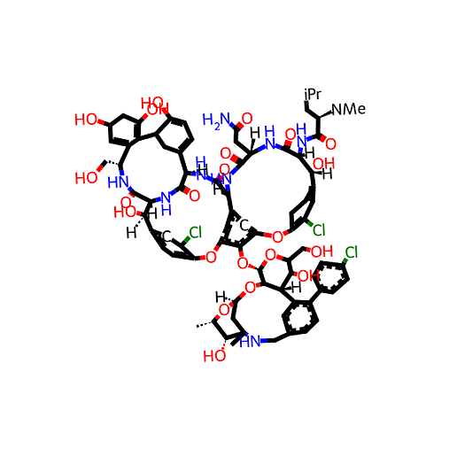 CN[C@H](CC(C)C)C(=O)N[C@H]1C(=O)N[C@@H](CC(N)=O)C(=O)N[C@H]2C(=O)N[C@H]3C(=O)N[C@H](C(=O)N[C@H](CO)C4=CC(O)CC(O)=C4C4CC3=CC=C4O)[C@H](O)C3=CC=C(Oc4cc2cc(c4O[C@H]2OC(CO)C(O)[C@@H]4c5cc(ccc5-c5ccc(Cl)cc5)CNC5(C)C[C@H](OC24)O[C@@H](C)[C@H]5O)OC2=C(Cl)C=C(CC2)[C@H]1O)C(Cl)C3